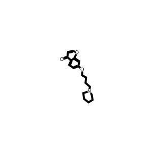 O=c1ccoc2cc(OCCCCN3CCCCC3)ccc12